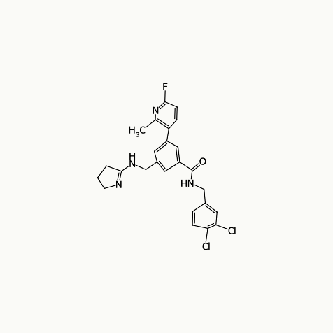 Cc1nc(F)ccc1-c1cc(CNC2=NCCC2)cc(C(=O)NCc2ccc(Cl)c(Cl)c2)c1